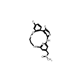 C[S+]([O-])Cc1cc2nc(c1)Nc1cc(c(F)cn1)-c1ccc(F)cc1OCCCCN2